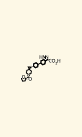 O=C(O)c1n[nH]c2cc(-c3ccc([C@H]4CC45CCN(C(=O)[C@H]4CCCO4)CC5)cc3)ccc12